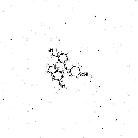 NCc1cccc(N(c2cc(N)nn3ccnc23)[C@H]2CC[C@H](N)CC2)c1